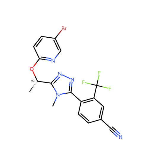 C[C@H](Oc1ccc(Br)cn1)c1nnc(-c2ccc(C#N)cc2C(F)(F)F)n1C